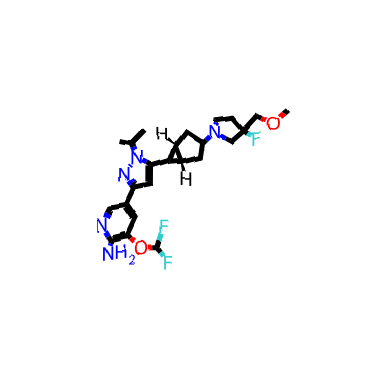 COCC1(F)CCN(C2C[C@@H]3C(c4cc(-c5cnc(N)c(OC(F)F)c5)nn4C(C)C)[C@@H]3C2)C1